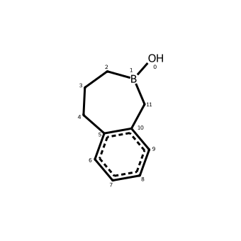 OB1CCCc2ccccc2C1